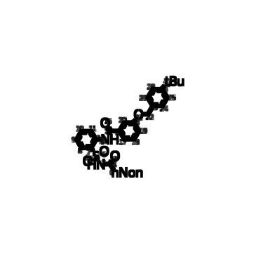 CCCCCCCCCC(=O)NS(=O)(=O)c1ccccc1NC(=O)c1cccc(OCc2ccc(C(C)(C)C)cc2)c1